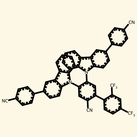 N#Cc1ccc(-c2ccc3c(c2)c2ccccc2n3-c2cc(C#N)c(-c3ccc(C(F)(F)F)cc3C(F)(F)F)cc2-n2c3ccccc3c3cc(-c4ccc(C#N)cc4)ccc32)cc1